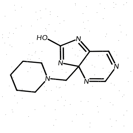 OC1=NC2(CN3CCCCC3)N=CN=CC2=N1